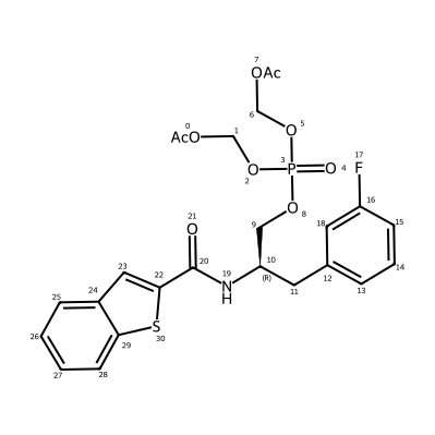 CC(=O)OCOP(=O)(OCOC(C)=O)OC[C@@H](Cc1cccc(F)c1)NC(=O)c1cc2ccccc2s1